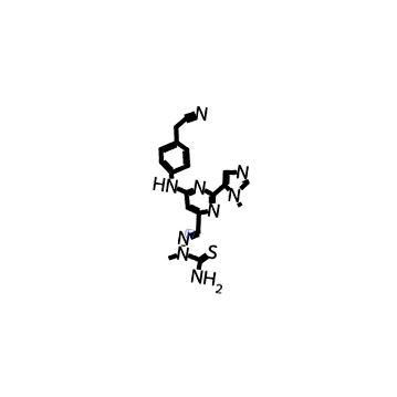 CN(/N=C/c1cc(Nc2ccc(CC#N)cc2)nc(-c2cncn2C)n1)C(N)=S